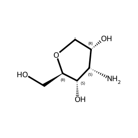 N[C@@H]1[C@H](O)[C@@H](CO)O[CH][C@@H]1O